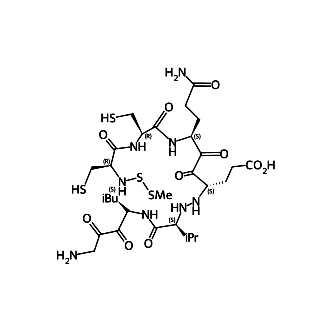 CC[C@H](C)C(NC(=O)[C@@H](NN[C@@H](CCC(=O)O)C(=O)C(=O)[C@H](CCC(N)=O)NC(=O)[C@H](CS)NC(=O)[C@H](CS)NSSC)C(C)C)C(=O)C(=O)CN